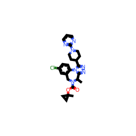 CC1c2nnc(C3CCN(c4ncccn4)CC3)n2-c2ccc(Cl)cc2CN1C(=O)OC1(C)CC1